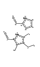 CCc1c(C)[nH]c(C=O)c1C.O=Cc1ccc[nH]1